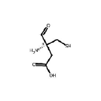 N[C@]([C]=O)(CS)CC(=O)O